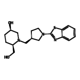 OC[C@H]1CC[C@@H](O)CN1C[C@H]1CCN(c2nc3ccccc3s2)C1